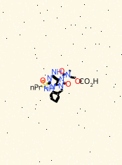 CCCS(=N)(=O)c1nc(N)c2c(n1)n(Cc1ccccc1)c(=O)n2C(=O)N(C)CCOC(=O)O